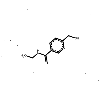 CCNC(=O)c1ccc(CO)nc1